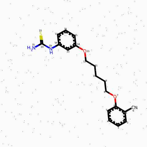 N#Cc1ccccc1OCCCCCOc1cccc(NC(N)=S)c1